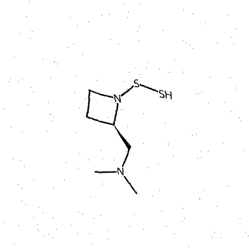 CN(C)C[C@H]1CCN1SS